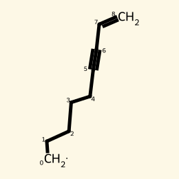 [CH2]CCCCC#CC=C